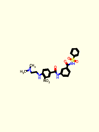 CN(C)CCNc1ccc(C(=O)Nc2cccc(C(=O)NS(=O)(=O)c3ccccc3)c2)cc1[N+](=O)[O-]